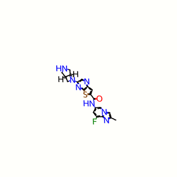 Cc1cn2cc(NC(=O)c3cc4ncc(N5C[C@@H]6CNC[C@@H]65)nc4s3)cc(F)c2n1